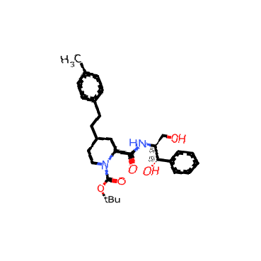 Cc1ccc(CCC2CCN(C(=O)OC(C)(C)C)C(C(=O)N[C@@H](CO)[C@@H](O)c3ccccc3)C2)cc1